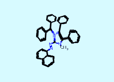 Cn1c(-c2ccccc2)c(-c2ccccc2)[n+](C(c2ccccc2)c2ccccc2)c1N=Nc1cccc2ccccc12